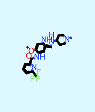 COC1=CC(=N)/C(=C\NC2CCN(C)CC2)C=C1NC(=O)c1cccc(C(F)(F)F)n1